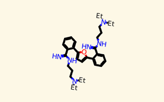 CCN(CC)CCCNC(=N)c1ccccc1-c1ccc(-c2ccccc2C(=N)NCCCN(CC)CC)o1